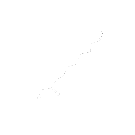 C/C=C\CCCCCCCC(=O)OCCC